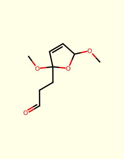 COC1C=CC(CCC=O)(OC)O1